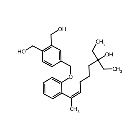 CCC(O)(CC)CCC/C=C(/C)c1ccccc1OCc1ccc(CO)c(CO)c1